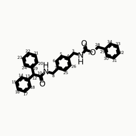 O=C(NCc1ccc(CNC(=O)C(c2ccccc2)c2ccccc2)cc1)OCc1ccccc1